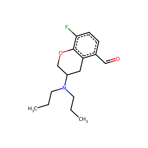 CCCN(CCC)C1COc2c(F)ccc(C=O)c2C1